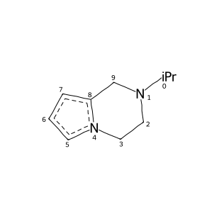 CC(C)N1CCn2cccc2C1